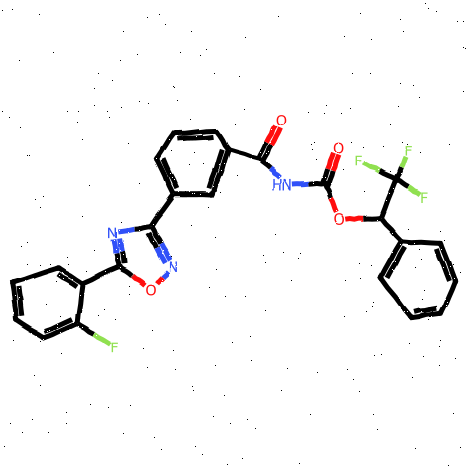 O=C(NC(=O)c1cccc(-c2noc(-c3ccccc3F)n2)c1)OC(c1ccccc1)C(F)(F)F